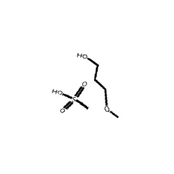 COCCCO.CS(=O)(=O)O